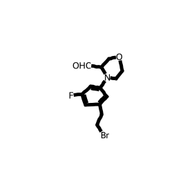 O=CC1COCCN1c1cc(F)cc(CCBr)c1